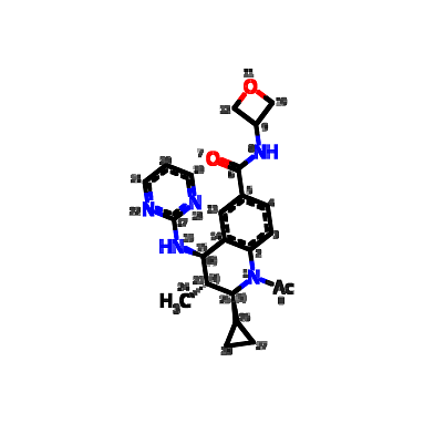 CC(=O)N1c2ccc(C(=O)NC3COC3)cc2[C@H](Nc2ncccn2)[C@@H](C)[C@@H]1C1CC1